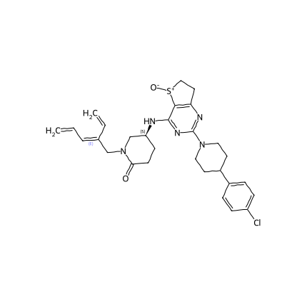 C=C/C=C(\C=C)CN1C[C@@H](Nc2nc(N3CCC(c4ccc(Cl)cc4)CC3)nc3c2[S+]([O-])CC3)CCC1=O